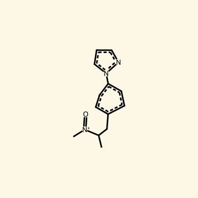 CC(Cc1ccc(-n2cccn2)cc1)[N+](C)=O